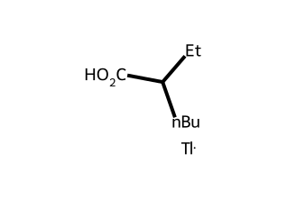 CCCCC(CC)C(=O)O.[Tl]